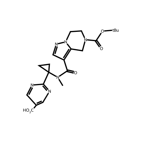 CN(C(=O)c1cnn2c1CN(C(=O)OC(C)(C)C)CC2)C1(c2ncc(C(=O)O)cn2)CC1